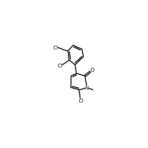 Cn1c(Cl)ccc(-c2cccc(Cl)c2Cl)c1=O